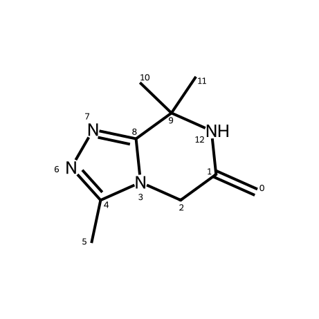 C=C1Cn2c(C)nnc2C(C)(C)N1